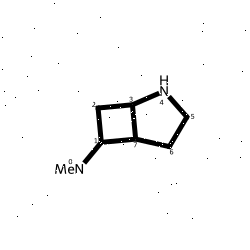 CNC1CC2NCCC12